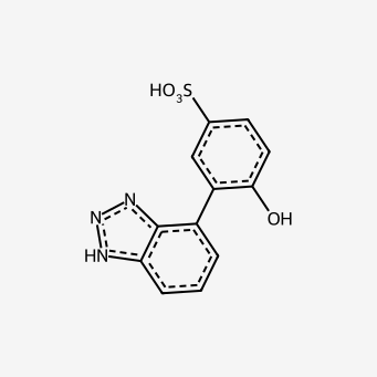 O=S(=O)(O)c1ccc(O)c(-c2cccc3[nH]nnc23)c1